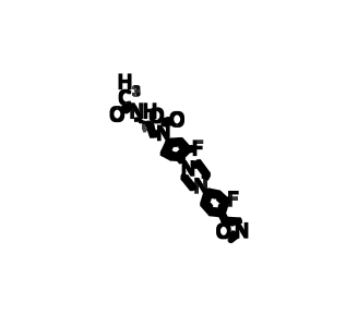 CC(=O)NC[C@H]1CN(c2ccc(N3CCN(c4ccc(-c5cnco5)c(F)c4)CC3)c(F)c2)C(=O)O1